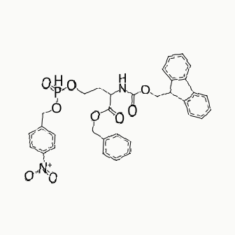 O=C(NC(CCO[PH](=O)OCc1ccc([N+](=O)[O-])cc1)C(=O)OCc1ccccc1)OCC1c2ccccc2-c2ccccc21